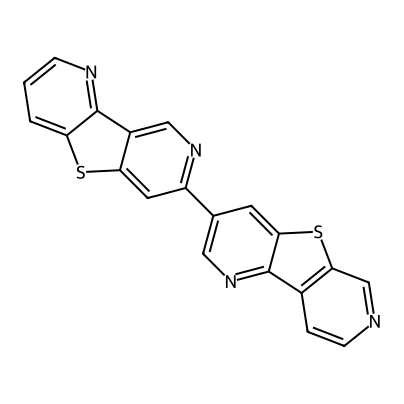 c1cnc2c(c1)sc1cc(-c3cnc4c(c3)sc3cnccc34)ncc12